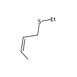 C/C=C\CSCC